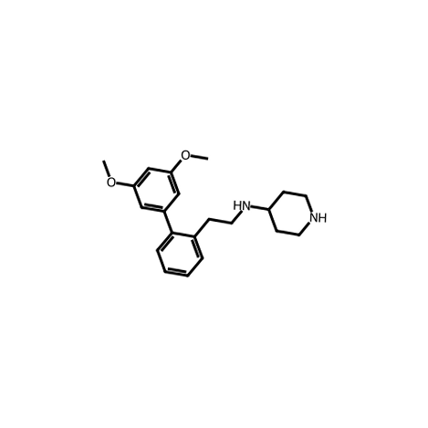 COc1cc(OC)cc(-c2ccccc2CCNC2CCNCC2)c1